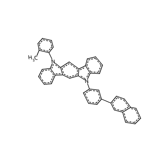 Cc1ccccc1-n1c2ccccc2c2cc3c(cc21)c1ccccc1n3-c1cccc(-c2ccc3ccccc3c2)c1